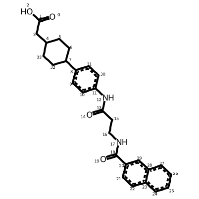 O=C(O)CC1CCC(c2ccc(NC(=O)CCNC(=O)c3ccc4ccccc4c3)cc2)CC1